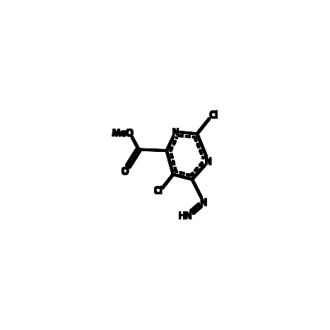 COC(=O)c1nc(Cl)nc(N=N)c1Cl